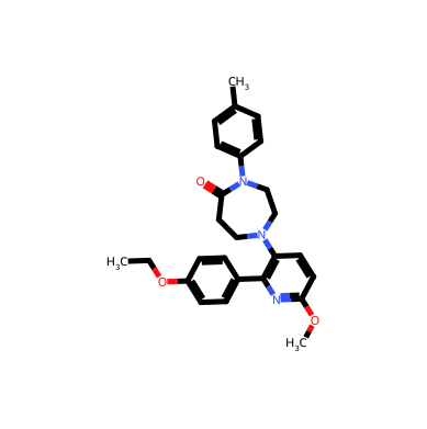 CCOc1ccc(-c2nc(OC)ccc2N2CCC(=O)N(c3ccc(C)cc3)CC2)cc1